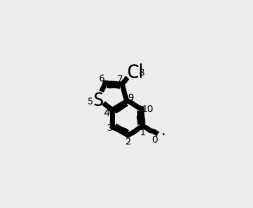 [CH2]c1ccc2scc(Cl)c2c1